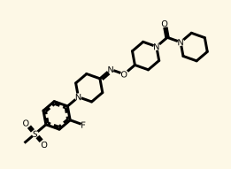 CS(=O)(=O)c1ccc(N2CCC(=NOC3CCN(C(=O)N4CCCCC4)CC3)CC2)c(F)c1